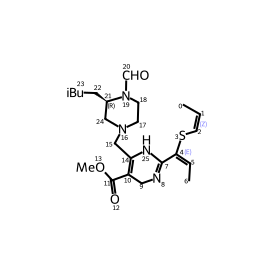 C/C=C\S/C(=C/C)C1=NCC(C(=O)OC)=C(CN2CCN(C=O)[C@H](CC(C)CC)C2)N1